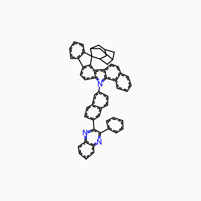 c1ccc(-c2nc3ccccc3nc2-c2ccc3cc(-n4c5ccc6c(c5c5ccc7ccccc7c54)C4(c5ccccc5-6)C5CC6CC(C5)CC4C6)ccc3c2)cc1